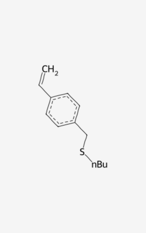 C=Cc1ccc(CSCCCC)cc1